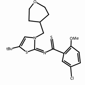 COc1ccc(Cl)cc1C(=S)N=c1sc(C(C)(C)C)cn1CC1CCOCC1